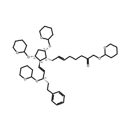 O=C(CCCC=CC[C@@H]1[C@@H](C=C[C@H](CCc2ccccc2)OC2CCCCO2)[C@H](OC2CCCCO2)C[C@@H]1OC1CCCCO1)COC1CCCCO1